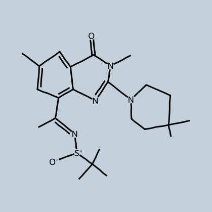 CC(=N[S+]([O-])C(C)(C)C)c1cc(C)cc2c(=O)n(C)c(N3CCC(C)(C)CC3)nc12